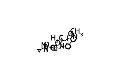 C=C(CCF)C(=O)N(CC12CCC(c3nc(C4CC4)no3)(CC1)OC2)c1cccc(-c2ccnc(OC)c2)c1